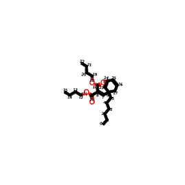 CCCCCCC1(C=C(C(=O)OCCCC)C(=O)OCCCC)C=CC=CC1